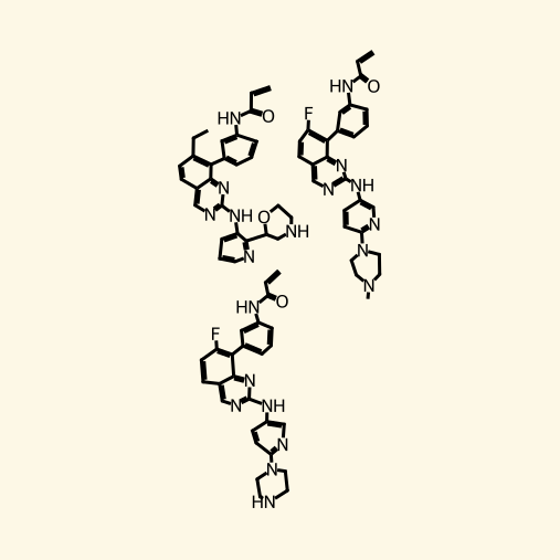 C=CC(=O)Nc1cccc(-c2c(CC)ccc3cnc(Nc4cccnc4C4CNCCO4)nc23)c1.C=CC(=O)Nc1cccc(-c2c(F)ccc3cnc(Nc4ccc(N5CCN(C)CC5)nc4)nc23)c1.C=CC(=O)Nc1cccc(-c2c(F)ccc3cnc(Nc4ccc(N5CCNCC5)nc4)nc23)c1